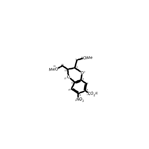 COCC1Oc2cc(C(=O)O)c([N+](=O)[O-])cc2OC1COC